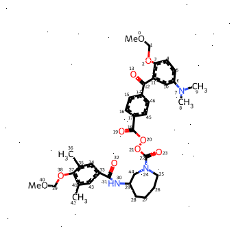 COCOc1ccc(N(C)C)cc1C(=O)c1ccc(C(=O)OOC(=O)N2CCCCC(NC(=O)c3cc(C)c(OCOC)c(C)c3)C2)cc1